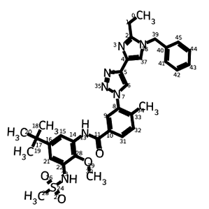 CCc1nc(-c2cn(-c3cc(C(=O)Nc4cc(C(C)(C)C)cc(NS(C)(=O)=O)c4OC)ccc3C)nn2)cn1Cc1ccccc1